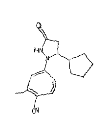 Cc1cc(N2NC(=O)CC2C2CCCC2)ccc1C#N